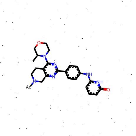 CC(=O)N1CCc2c(nc(-c3ccc(Nc4cccc(=O)[nH]4)cc3)nc2N2CCOCC2C)C1